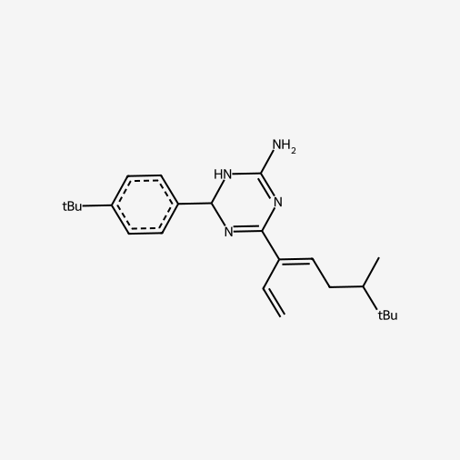 C=C/C(=C\CC(C)C(C)(C)C)C1=NC(c2ccc(C(C)(C)C)cc2)NC(N)=N1